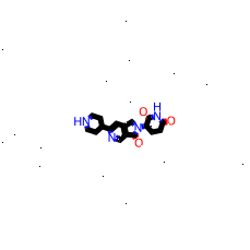 O=C1CCC(N2Cc3cc(C4CCNCC4)ncc3C2=O)C(=O)N1